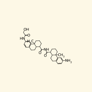 CC12CCCC(C(=O)NC(=O)C3CCCC4(C)c5cc(NC(=O)CO)ccc5CCC34)C1CCc1ccc(N)cc12